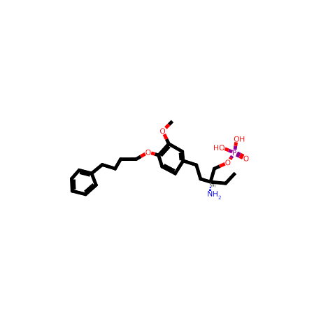 CC[C@@](N)(CCc1ccc(OCCCCc2ccccc2)c(OC)c1)COP(=O)(O)O